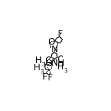 Cc1cc(N2CCOc3cc(F)ccc3C2)cc(C)c1NC(=O)CC1(C)CC(F)(F)C1